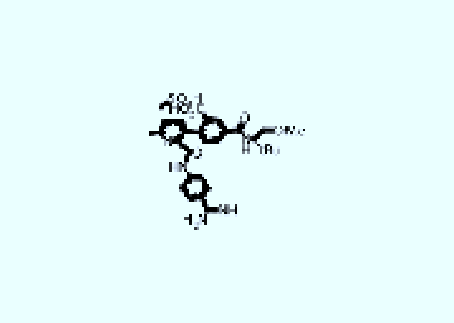 COC[C@@H](NC(=O)c1ccc(-c2ccc(C)nc2C(=O)Nc2ccc(C(=N)N)cc2)c(C(=O)O)c1)C(C)(C)C.CS(=O)(=O)O